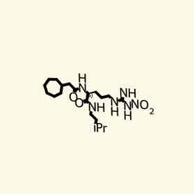 CC(C)CCNC(=O)[C@H](CCCNC(=N)N[N+](=O)[O-])NC(=O)CC1CCCCCC1